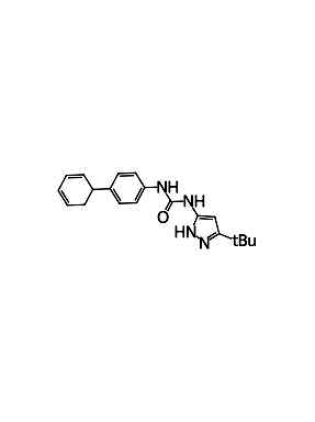 CC(C)(C)c1cc(NC(=O)Nc2ccc(C3C=CC=CC3)cc2)[nH]n1